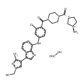 N#CCn1cc(-c2cnc3c(Nc4ccc(C(=O)N5CCN(C(=O)[C@@H]6CC[C@@H](N)C6)CC5)c(Cl)c4)nccn23)c(C(F)(F)F)n1.O=CO